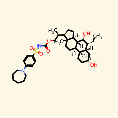 CC[C@H]1[C@@H](O)[C@@H]2[C@H](CC[C@]3(C)[C@@H]([C@H](C)COC(=O)NS(=O)(=O)c4ccc(N5CCCCCC5)cc4)CC[C@@H]23)[C@@]2(C)CC[C@@H](O)C[C@@H]12